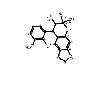 COc1cccc(C2c3cc4c(cc3OC(C)(O)C2C)OCO4)c1O